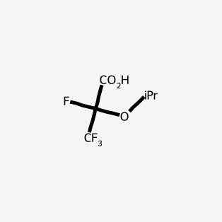 CC(C)OC(F)(C(=O)O)C(F)(F)F